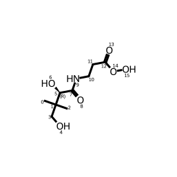 CC(C)(CO)[C@@H](O)C(=O)NCCC(=O)OO